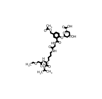 CCOCC(=O)N[C@@H](CCCCNC(=O)CNC(=O)c1cc(COC(C)=O)ccc1O[C@H]1C[C@@H](O)C[C@@H](C(=O)O)O1)C(=O)NC(C)C